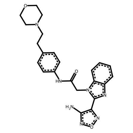 Nc1nonc1-c1nc2ccccc2n1CC(=O)Nc1ccc(CCN2CCOCC2)cc1